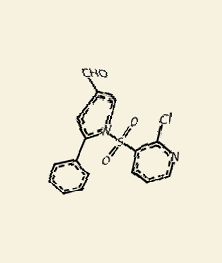 O=Cc1cc(-c2ccccc2)n(S(=O)(=O)c2cccnc2Cl)c1